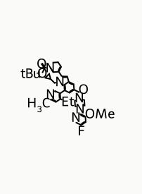 CCc1cc(C)ncc1-c1cc(C(=O)N2CCN(c3ncc(F)cc3OC)CC2)cc2cc(C3=CCCN(C(=O)OC(C)(C)C)C3)n(CC3CC3)c12